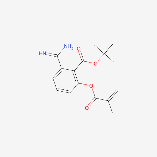 C=C(C)C(=O)Oc1cccc(C(=N)N)c1C(=O)OC(C)(C)C